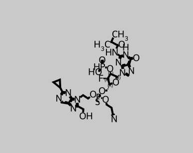 CC(C)C(=O)Nc1nc2c(ncn2[C@@H]2O[C@H](COP(=S)(OCCC#N)OCCn3c(CO)nc4cnc(C5CC5)nc43)[C@@H](F)[C@H]2O[PH](=O)O)c(=O)[nH]1